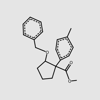 COC(=O)C1(c2ccc(C)cc2)CCCC1OCc1ccccc1